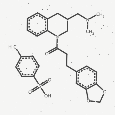 CN(C)CC1Cc2ccccc2N(C(=O)CCc2ccc3c(c2)OCO3)C1.Cc1ccc(S(=O)(=O)O)cc1